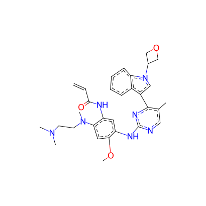 C=CC(=O)Nc1cc(Nc2ncc(C)c(-c3cn(C4COC4)c4ccccc34)n2)c(OC)cc1N(C)CCN(C)C